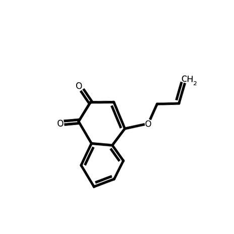 C=CCOC1=CC(=O)C(=O)c2ccccc21